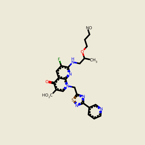 CC(CNc1nc2c(cc1F)c(=O)c(C(=O)O)cn2Cc1nc(-c2cccnc2)ns1)OCCCN=O